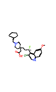 COc1ccc2ncc(Cl)c([C@@H](F)CCC3(CC(=O)O)CCN(CC4CCCC4)CC3)c2c1